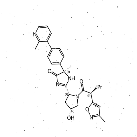 Cc1cc([C@@H](C(=O)N2C[C@H](O)C[C@@H]2C2=NC(=O)[C@@](C)(c3ccc(-c4cccnc4C)cc3)N2)C(C)C)on1